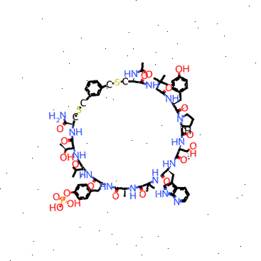 CC(=O)N[C@H]1CSCc2cccc(c2)CSC[C@H](C(N)=O)NC(=O)[C@H]([C@H](C)O)NC(=O)[C@](C)(C(C)C)NC(=O)[C@H](Cc2ccc(OP(=O)(O)O)cc2)NC(=O)[C@H](C)NC(=O)C(C)(C)NC(=O)[C@H](Cc2c[nH]c3ncccc23)NC(=O)[C@H]([C@@H](C)O)NC(=O)[C@@H]2CCCN2C(=O)[C@H](Cc2ccc(O)cc2)NC(=O)[C@H](C(C)(C)C)NC1=O